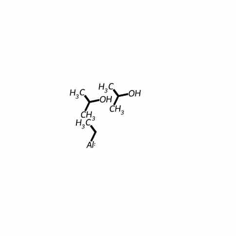 CC(C)O.CC(C)O.C[CH2][Al]